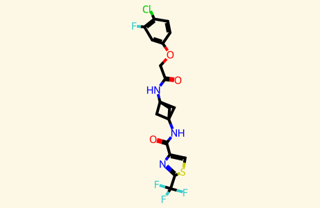 O=C(COc1ccc(Cl)c(F)c1)NC12CC(NC(=O)c3csc(C(F)(F)F)n3)(C1)C2